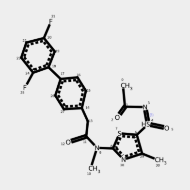 CC(=O)/N=[SH](=O)\c1sc(N(C)C(=O)Cc2ccc(-c3cc(F)ccc3F)cc2)nc1C